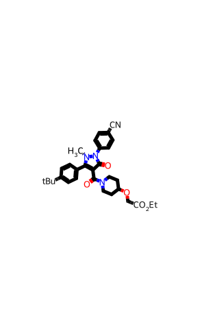 CCOC(=O)COC1CCN(C(=O)c2c(-c3ccc(C(C)(C)C)cc3)n(C)n(-c3ccc(C#N)cc3)c2=O)CC1